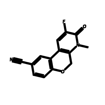 Cn1c2c(cc(F)c1=O)-c1cc(C#N)ccc1OC2